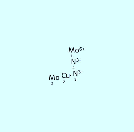 [Cu].[Mo+6].[Mo].[N-3].[N-3]